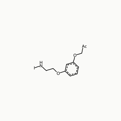 CC(=O)COc1cccc(OCCNI)c1